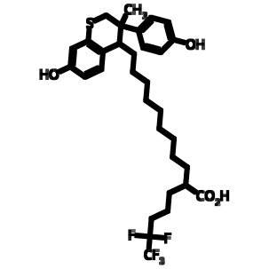 CC1(c2ccc(O)cc2)CSc2cc(O)ccc2C1CCCCCCCCCC(CCCC(F)(F)C(F)(F)F)C(=O)O